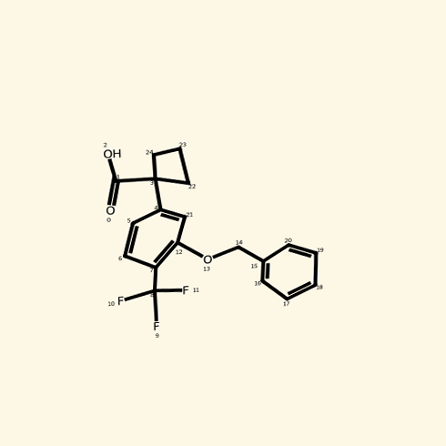 O=C(O)C1(c2ccc(C(F)(F)F)c(OCc3ccccc3)c2)CCC1